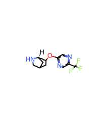 FC(F)(F)c1cnc(OC2CC3CN[C@@H]2C3)cn1